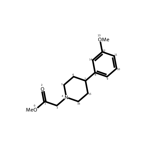 COC(=O)CN1CCC(c2cccc(OC)c2)CC1